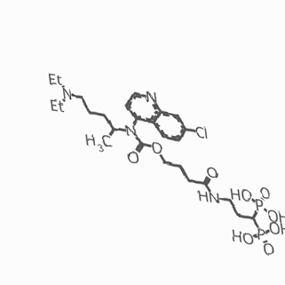 CCN(CC)CCCC(C)N(C(=O)OCCCC(=O)NCCC(P(=O)(O)O)P(=O)(O)O)c1ccnc2cc(Cl)ccc12